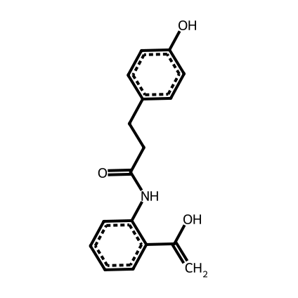 C=C(O)c1ccccc1NC(=O)CCc1ccc(O)cc1